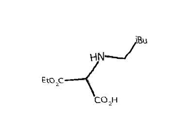 CCOC(=O)C(NCC(C)CC)C(=O)O